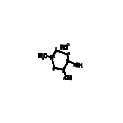 CN1CCC(O)C(O)C1.Cl